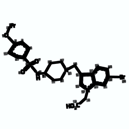 CC(C)Oc1ccc(S(=O)(=O)NC2CCN(Cc3cn(CC(=O)O)c4cc(Br)ccc34)CC2)cc1